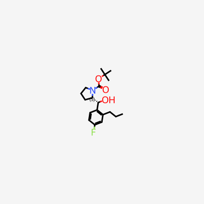 CCCc1cc(F)ccc1C(O)[C@@H]1CCCN1C(=O)OC(C)(C)C